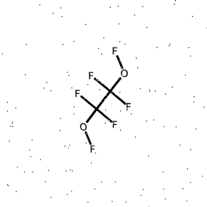 FOC(F)(F)C(F)(F)OF